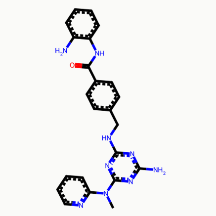 CN(c1ccccn1)c1nc(N)nc(NCc2ccc(C(=O)Nc3ccccc3N)cc2)n1